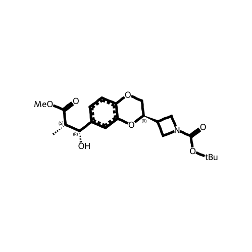 COC(=O)[C@@H](C)[C@@H](O)c1ccc2c(c1)O[C@H](C1CN(C(=O)OC(C)(C)C)C1)CO2